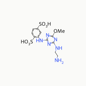 COc1nc(NCCN)nc(Nc2cc(S(=O)(=O)O)ccc2S(=O)(=O)O)n1